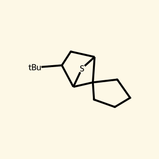 CC(C)(C)C1CC2SC1C21CCCC1